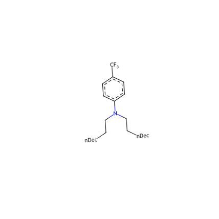 CCCCCCCCCCCCN(CCCCCCCCCCCC)c1ccc(C(F)(F)F)cc1